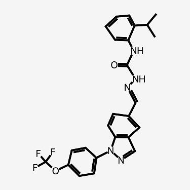 CC(C)c1ccccc1NC(=O)N/N=C/c1ccc2c(cnn2-c2ccc(OC(F)(F)F)cc2)c1